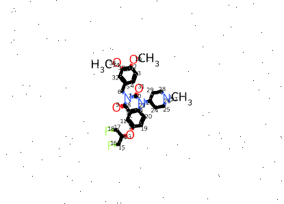 COc1ccc(Cn2c(=O)c3cc(OC(CF)CF)ccc3n(C3CCN(C)CC3)c2=O)cc1OC